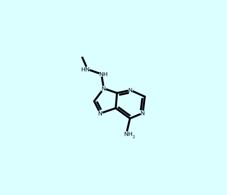 CNNn1cnc2c(N)ncnc21